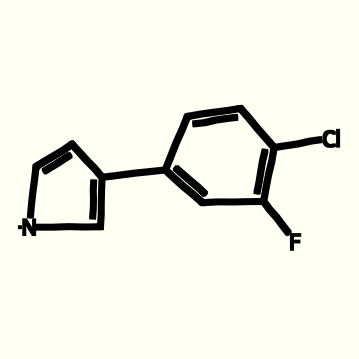 Fc1cc(C2=C[N]C=C2)ccc1Cl